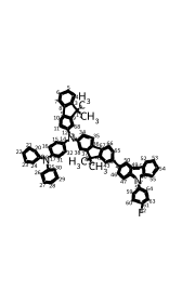 CC1(C)c2ccccc2-c2ccc(N(c3ccc(N(c4ccccc4)c4ccccc4)cc3)c3ccc4c(c3)C(C)(C)c3cc(-c5ccc6c(c5)c5ccccc5n6-c5ccc(F)cc5)ccc3-4)cc21